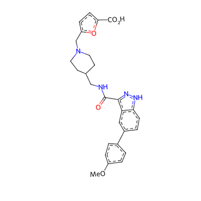 COc1ccc(-c2ccc3[nH]nc(C(=O)NCC4CCN(Cc5ccc(C(=O)O)o5)CC4)c3c2)cc1